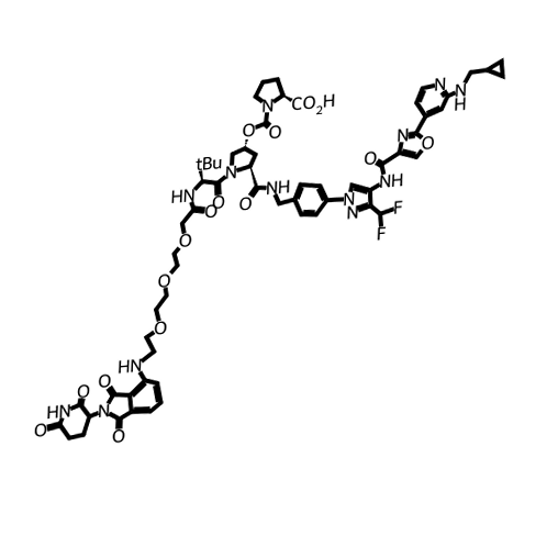 CC(C)(C)[C@H](NC(=O)COCCOCCOCCNc1cccc2c1C(=O)N(C1CCC(=O)NC1=O)C2=O)C(=O)N1C[C@H](OC(=O)N2CCC[C@H]2C(=O)O)C[C@H]1C(=O)NCc1ccc(-n2cc(NC(=O)c3coc(-c4ccnc(NCC5CC5)c4)n3)c(C(F)F)n2)cc1